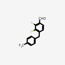 O=Cc1ccc(Cc2ccc(C(F)(F)F)cc2)c(F)c1F